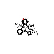 C=CCC(N)(c1ccccc1)N(C(=O)C1CCC1)C(N)(CC=C)c1ccccc1